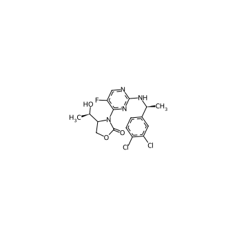 C[C@H](Nc1ncc(F)c(N2C(=O)OCC2[C@@H](C)O)n1)c1ccc(Cl)c(Cl)c1